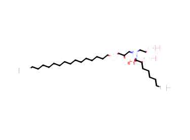 CCCCCCCCCCCCCCCCOCC(O)CN(CCO)C(=O)C(O)CCCCCC